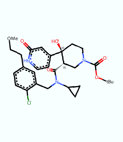 COCCc1ccc(Cl)c(CN(C(=O)[C@H]2CN(C(=O)OC(C)(C)C)CC[C@@]2(O)c2cc[nH]c(=O)c2)C2CC2)c1